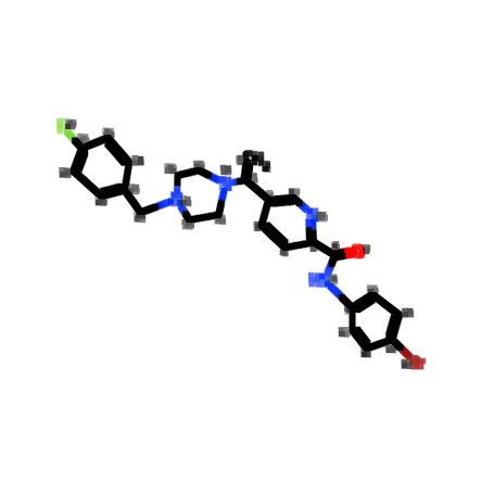 C=C(c1ccc(C(=O)Nc2ccc(Br)cc2)nc1)N1CCN(Cc2ccc(F)cc2)CC1